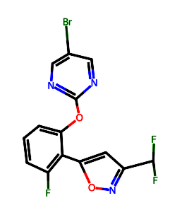 Fc1cccc(Oc2ncc(Br)cn2)c1-c1cc(C(F)F)no1